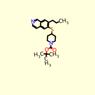 CCCc1cc2cnccc2cc1SC1CCN(C(=O)OC(C)(C)C)CC1